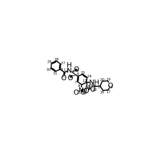 O=C(NS(=O)(=O)C1=CC([N+](=O)[O-])C(NCC2CCOCC2)([N+](=O)[O-])C=C1)c1ccccc1